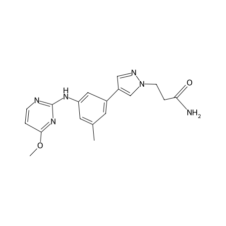 COc1ccnc(Nc2cc(C)cc(-c3cnn(CCC(N)=O)c3)c2)n1